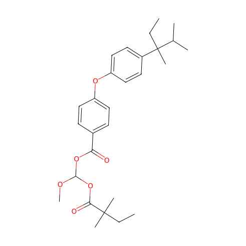 CCC(C)(C)C(=O)OC(OC)OC(=O)c1ccc(Oc2ccc(C(C)(CC)C(C)C)cc2)cc1